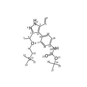 C=Cc1[nH]nc(C(C)OCC[Si](C)(C)C)c1-c1ccc(NC(=O)OC(C)(C)C)cc1